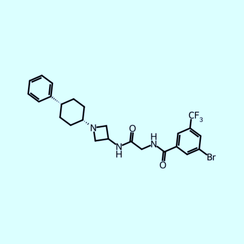 O=C(CNC(=O)c1cc(Br)cc(C(F)(F)F)c1)NC1CN([C@H]2CC[C@@H](c3ccccc3)CC2)C1